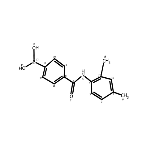 Cc1ccc(NC(=O)c2ccc(B(O)O)cc2)c(C)c1